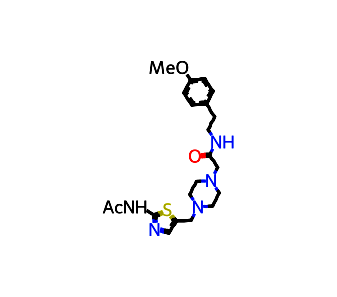 COc1ccc(CCNC(=O)CN2CCN(Cc3cnc(NC(C)=O)s3)CC2)cc1